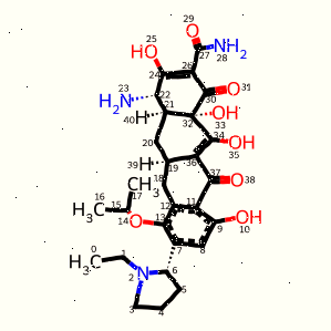 CCN1CCC[C@H]1c1cc(O)c2c(c1OC(C)C)C[C@H]1C[C@H]3[C@H](N)C(O)=C(C(N)=O)C(=O)[C@@]3(O)C(O)=C1C2=O